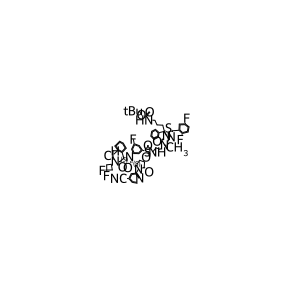 CN(CCNS(=O)(=O)c1cc(F)cc(N(C(=O)[C@@H]2CCC(=O)N2c2cc(C#N)ccn2)[C@H](C(=O)NC2CC(F)(F)C2)c2ccccc2Cl)c1)C(=O)N1N=C(c2cc(F)ccc2F)SC1(CCCNC(=O)OC(C)(C)C)c1ccccc1